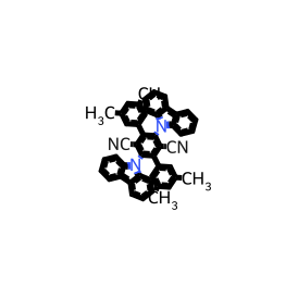 Cc1cc(C)cc(-c2c(C#N)c(-n3c4ccccc4c4ccccc43)c(-c3cc(C)cc(C)c3)c(C#N)c2-n2c3ccccc3c3ccccc32)c1